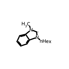 CCCCCCN1[CH]N(C)c2ccccc21